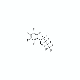 FCP(c1c(F)c(F)c(F)c(F)c1F)C(F)(F)C(F)(F)C(F)(F)C(F)(F)F